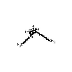 CCCCCCCCCCCCOc1cc2cc(C(=O)OCCCCCCCC)cc(O)c(=O)c2c(O)c1O